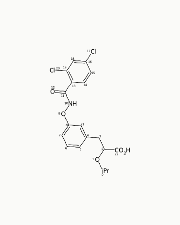 CC(C)OC(Cc1cccc(ONC(=O)c2ccc(Cl)cc2Cl)c1)C(=O)O